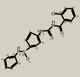 O=C(NC(=S)Nc1ccc([S+]([O-])Nc2ccccc2)cc1)c1ccccc1Cl